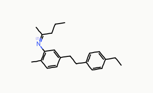 CCC/C(C)=N\c1cc(CCc2ccc(CC)cc2)ccc1C